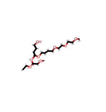 CCOC(COC)OC(CCCO)OCCCCOCCOCCOC